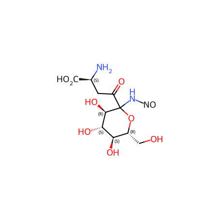 N[C@@H](CC(=O)C1(NN=O)O[C@H](CO)[C@@H](O)[C@H](O)[C@H]1O)C(=O)O